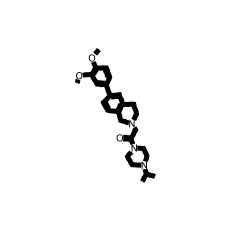 COc1ccc(-c2ccc3c(c2)CCN(CC(=O)N2CCN(C(C)C)CC2)C3)cc1OC